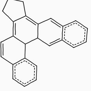 C1=Cc2ccccc2C2C1=C1CCCC1=C1C=c3ccccc3=CC12